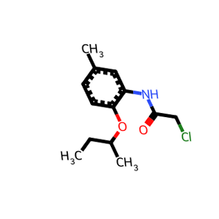 CCC(C)Oc1ccc(C)cc1NC(=O)CCl